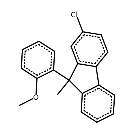 COc1ccccc1C1(C)c2ccccc2-c2ccc(Cl)cc21